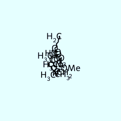 C=CCCCCOC(=O)N[C@H](C(=O)OC(=O)C1CC(OC)CN1C)C(C)(C)Cc1ccc2cc(N(C)C)c(C=C)cc2c1